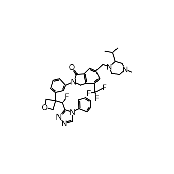 CC(C)C1CN(C)CCN1Cc1cc2c(c(C(F)(F)F)c1)CN(c1cccc(C3([C@@H](F)c4nncn4-c4ccccc4)COC3)c1)C2=O